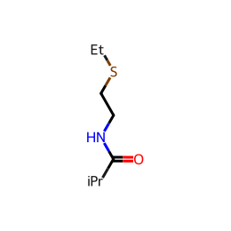 CCSCCNC(=O)C(C)C